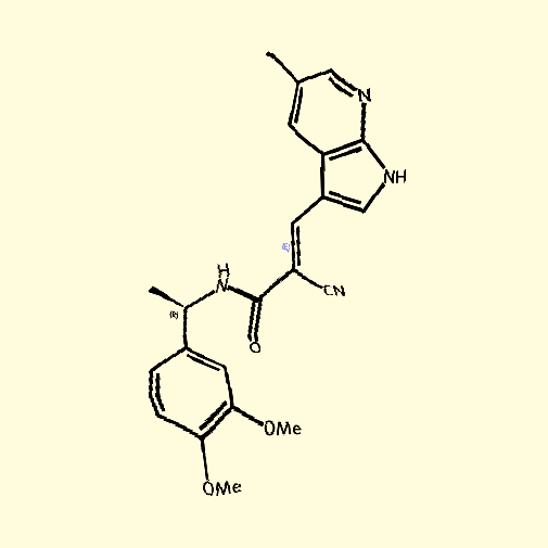 COc1ccc([C@@H](C)NC(=O)/C(C#N)=C/c2c[nH]c3ncc(C)cc23)cc1OC